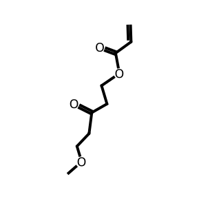 C=CC(=O)OCCC(=O)CCOC